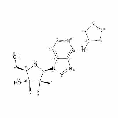 C[C@]1(F)[C@H](n2cnc3c(NC4CCCC4)ncnc32)O[C@H](CO)[C@@]1(C)O